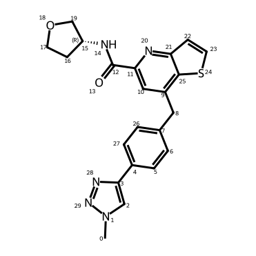 Cn1cc(-c2ccc(Cc3cc(C(=O)N[C@@H]4CCOC4)nc4ccsc34)cc2)nn1